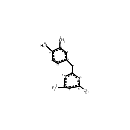 Cc1cc(Cc2nc(C(F)(F)F)cc(C(F)(F)F)n2)ccc1N